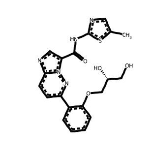 Cc1cnc(NC(=O)c2cnc3ccc(-c4ccccc4OC[C@H](O)CO)nn23)s1